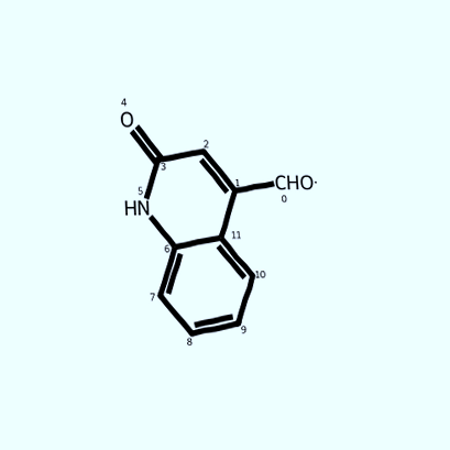 O=[C]c1cc(=O)[nH]c2ccccc12